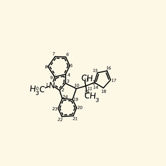 Cn1c2c(c3ccccc31)C(C(C)(C)C1=CC=CC1)c1ccccc1-2